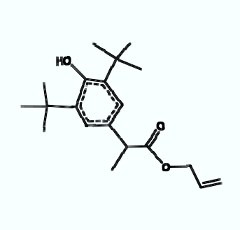 C=CCOC(=O)C(C)c1cc(C(C)(C)C)c(O)c(C(C)(C)C)c1